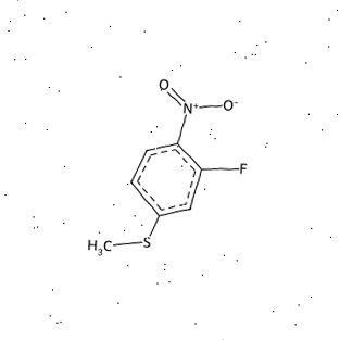 CSc1ccc([N+](=O)[O-])c(F)c1